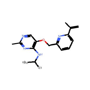 C=C(C)c1cccc(COc2cnc(C)nc2NC(CC)CCCC)n1